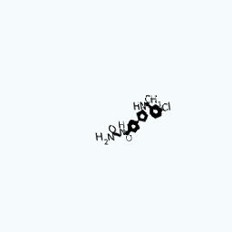 C[C@@H](N[C@H]1CC[C@@H](c2ccc(C(=O)NCC(N)=O)cc2)C1)c1cccc(Cl)c1